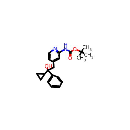 CC(C)(C)OC(=O)Nc1cc(CC(O)(c2ccccc2)C2CC2)ccn1